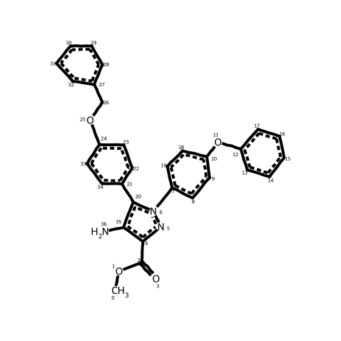 COC(=O)c1nn(-c2ccc(Oc3ccccc3)cc2)c(-c2ccc(OCc3ccccc3)cc2)c1N